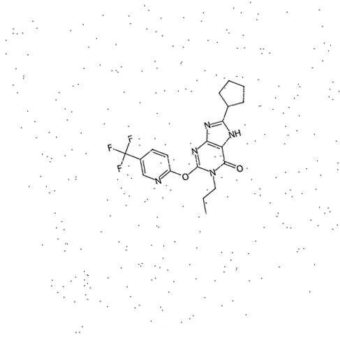 CCCn1c(Oc2ccc(C(F)(F)F)cn2)nc2nc(C3CCCC3)[nH]c2c1=O